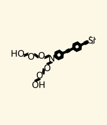 C[Si](C)(C)C#Cc1ccc(C#Cc2ccc(N(CCOCCOCCO)CCOCCOCCO)cc2)cc1